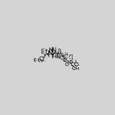 CCC(C)(C)OCCC(C)(CC)n1cc(C(=O)Nc2cc3cc(C(=O)N4C[C@@H](CCl)c5c4cc(O)c4cccc(C)c54)[nH]c3cn2)nn1